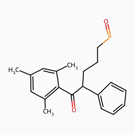 Cc1cc(C)c(C(=O)C(CCCP=O)c2ccccc2)c(C)c1